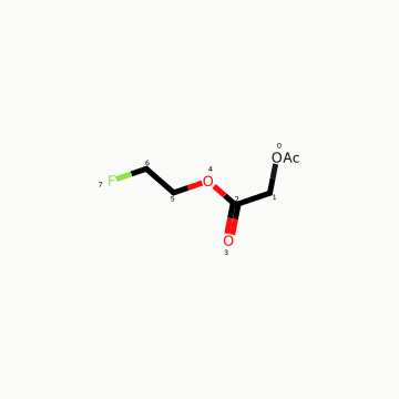 CC(=O)OCC(=O)OCCF